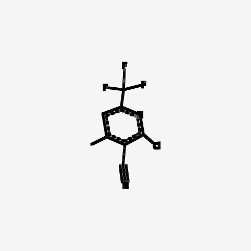 Cc1cc(C(F)(F)F)nc(Cl)c1C#N